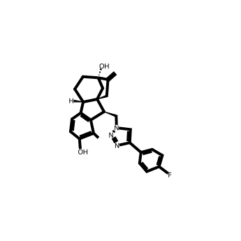 C=C1C[C@]23C[C@@]1(O)CC[C@H]2c1ccc(O)c(C)c1[C@@H]3Cn1cc(-c2ccc(F)cc2)nn1